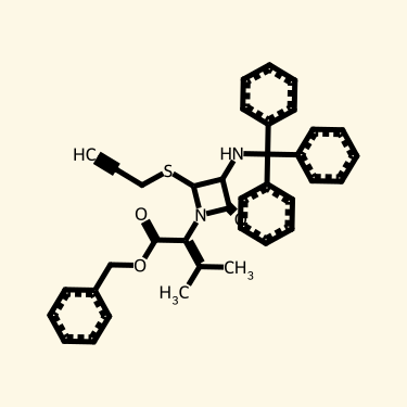 C#CCSC1C(NC(c2ccccc2)(c2ccccc2)c2ccccc2)C(=O)N1C(C(=O)OCc1ccccc1)=C(C)C